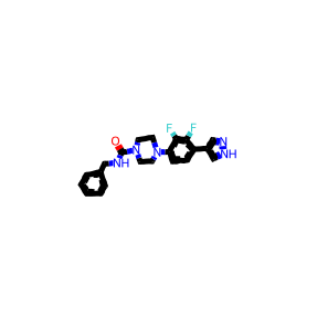 O=C(NCc1ccccc1)N1CCN(c2ccc(-c3cn[nH]c3)c(F)c2F)CC1